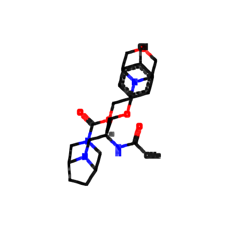 COC(=O)N[C@H](COc1ccc(C#N)cc1)CN1C2CCC1CN(C(=O)OCCN1CCOCC1)C2